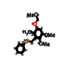 COCOc1cc(OC)c(OC)c(CSc2ccccc2)c1C